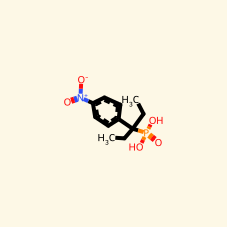 CCC(CC)(c1ccc([N+](=O)[O-])cc1)P(=O)(O)O